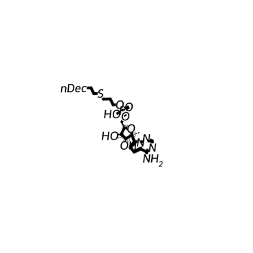 CCCCCCCCCCCCSCCCOP(=O)(O)OC[C@H]1O[C@@](C)(c2ccc3c(N)ncnn23)[C@H](O)[C@@H]1O